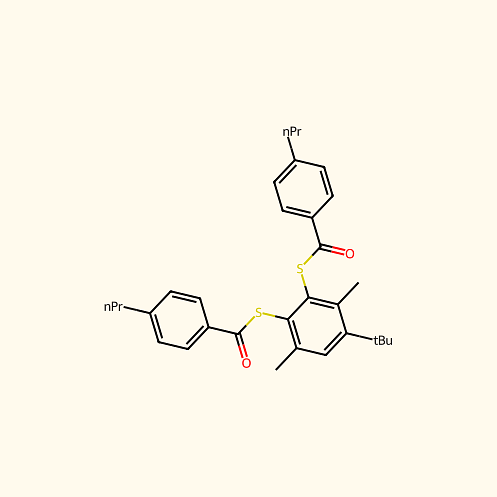 CCCc1ccc(C(=O)Sc2c(C)cc(C(C)(C)C)c(C)c2SC(=O)c2ccc(CCC)cc2)cc1